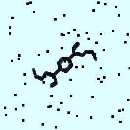 C=C/C(=C\C=C/C)c1ccc(/C(C=C)=C/C=C\C)cc1